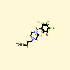 O=CCCCN1CCN(Cc2c(F)c(F)c(F)c(F)c2F)CC1